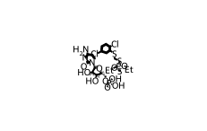 CCOP(=S)(OCC)SCSc1cc(Cl)ccc1Cl.Nc1ccn([C@@H]2O[C@H](COP(=O)(O)O)[C@@H](O)[C@H]2O)c(=O)n1